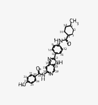 CC1CCC(C(=O)Nc2ccc(-c3nc4cc(NC(=O)c5ccc(O)cc5)ncc4[nH]3)cc2)CC1